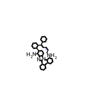 NC/C=C\C=C(c1ccccc1)c1ccccc1-c1ccc2c(nc3c4ccccc4c4ccccc4n23)c1N